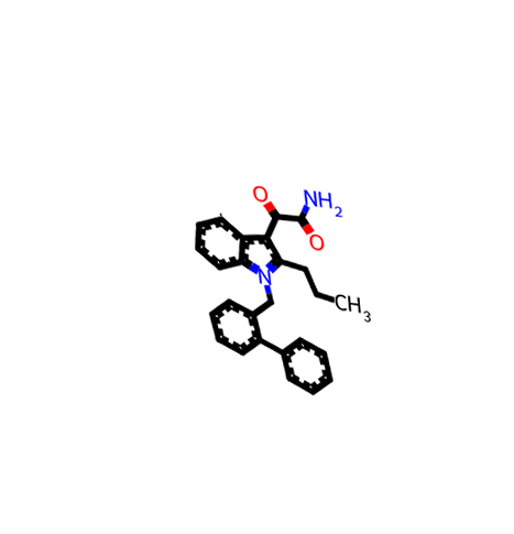 CCCc1c(C(=O)C(N)=O)c2[c]cccc2n1Cc1ccccc1-c1ccccc1